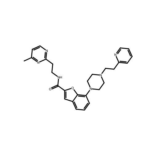 Cc1ccnc(CCNC(=O)c2cc3cccc(N4CCN(CCc5ccccn5)CC4)c3o2)n1